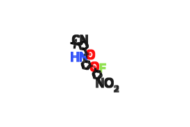 CC(C)(C#N)c1cccc(C(=O)Nc2cccc(Oc3ccc([N+](=O)[O-])cc3F)c2)c1